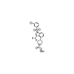 CC(C)(C)OC(=O)N1CCC(c2cccc3c2c(C(F)F)cn3S(=O)(=O)c2cccc(Cl)c2)CC1